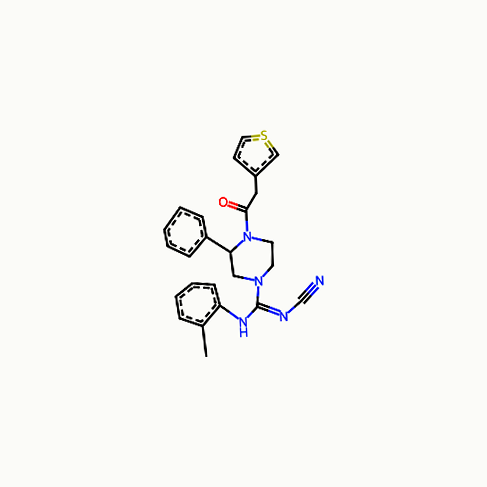 Cc1ccccc1N/C(=N/C#N)N1CCN(C(=O)Cc2ccsc2)C(c2ccccc2)C1